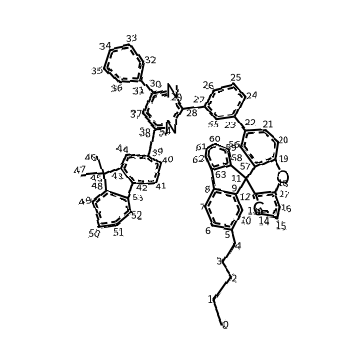 CCCCCc1ccc2c(c1)C1(c3ccccc3Oc3ccc(-c4cccc(-c5nc(-c6ccccc6)cc(-c6ccc7c(c6)C(C)(C)c6ccccc6-7)n5)c4)cc31)c1ccccc1-2